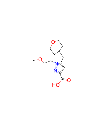 COCCn1nc(C(=O)O)cc1CC1CCOCC1